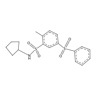 Cc1ccc(S(=O)(=O)c2ccccc2)cc1S(=O)(=O)NC1CCCC1